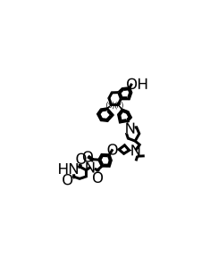 CC(C)N(CC1CCN(c2ccc([C@@H]3c4ccc(O)cc4CC[C@@H]3c3ccccc3)cc2)CC1)[C@H]1C[C@H](Oc2ccc3c(c2)C(=O)N(C2CCC(=O)NC2=O)C3=O)C1